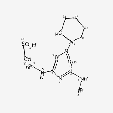 CCCNc1nc(NCCC)nc(N2CCCCO2)n1.O=S(=O)(O)O